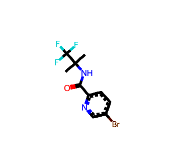 CC(C)(NC(=O)c1ccc(Br)cn1)C(F)(F)F